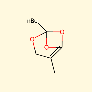 CCCCC12OCC(C)=C(O1)O2